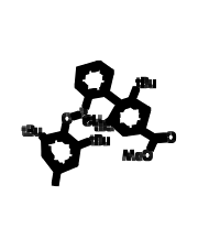 COC(=O)c1cc(C(C)(C)C)c(-c2ccccc2P(O)Oc2c(C(C)(C)C)cc(C)cc2C(C)(C)C)c(C(C)(C)C)c1